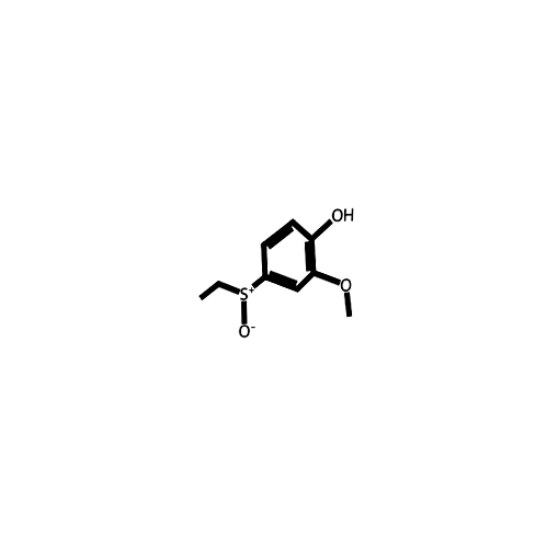 CC[S+]([O-])c1ccc(O)c(OC)c1